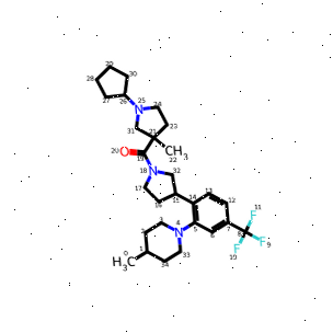 CC1CCN(c2cc(C(F)(F)F)ccc2C2CCN(C(=O)C3(C)CCN(C4CCCC4)C3)C2)CC1